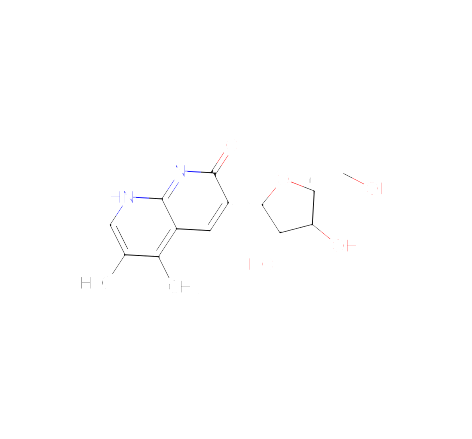 Cc1c[nH]c2nc(=O)c([C@@H]3O[C@H](CO)C(O)[C@@H]3O)cc-2c1C